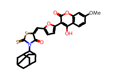 COc1ccc2c(O)c(-c3ccc(/C=C4/SC(=S)N(C5C6CC7CC(C6)CC5C7)C4=O)o3)c(=O)oc2c1